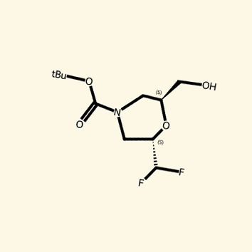 CC(C)(C)OC(=O)N1C[C@@H](CO)O[C@H](C(F)F)C1